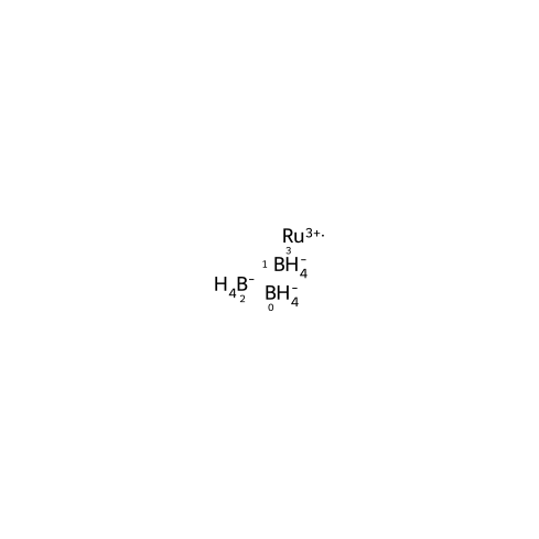 [BH4-].[BH4-].[BH4-].[Ru+3]